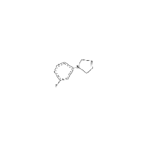 Fc1cccc(N2CC=CC2)c1